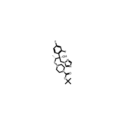 C[C@@H](SN1CCN(C(=O)OC(C)(C)C)CC1)[C@](O)(Cn1cncn1)c1ccc(F)cc1F